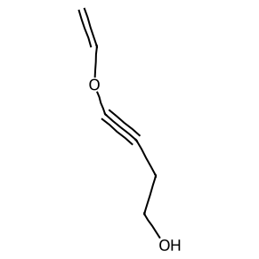 C=COC#CCCO